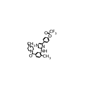 Cc1ccc(C(=O)N2CCN(C)CC2)cc1Nc1cncc(-c2ccc(OC(=O)C(F)(F)F)cc2)n1